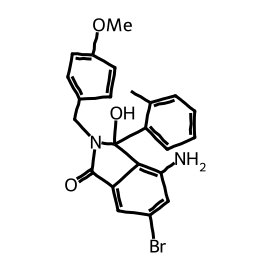 COc1ccc(CN2C(=O)c3cc(Br)cc(N)c3C2(O)c2ccccc2C)cc1